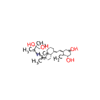 C=C1C(=CC=C2CCC[C@@]3(C)C2CC[C@@H]3[C@H](C)/C=C/[C@H](C)C(C)(O)CO)C[C@@H](O)CC1O